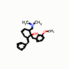 COc1cccc(CC2(O)C(=Cc3ccccc3)CCCC2CN(C)C)c1